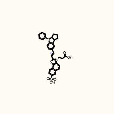 O=C(O)CC[n+]1c(/C=C/c2ccc3c(c2)C2CCCC2N3c2ccccc2)sc2c3ccc(S(=O)(=O)O)cc3ccc21